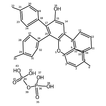 Cc1ccc(Oc2c(-c3ccccc3)cc(O)c(-c3ccc(C)cc3)c2-c2ccc(C)cc2)cc1.O=P(O)(O)OP(=O)(O)O